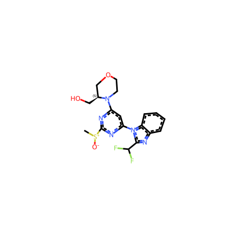 C[S+]([O-])c1nc(N2CCOC[C@@H]2CO)cc(-n2c(C(F)F)nc3ccccc32)n1